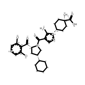 Cc1c(C(=O)N2C[C@H](C3CCCCC3)C[C@@H]2C(=O)c2c(Cl)cncc2Cl)cnn1[C@H]1CC[C@](C)(C(=O)O)CC1